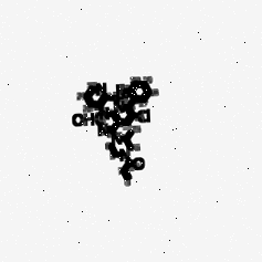 C=CC(=O)N1CCN(/C(=N/C)c2cc(Cl)c(-c3ccccc3F)nc2N(C=O)c2cccnc2C(C)C)C(C)C1